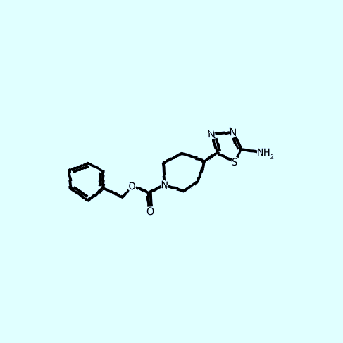 Nc1nnc(C2CCN(C(=O)OCc3ccccc3)CC2)s1